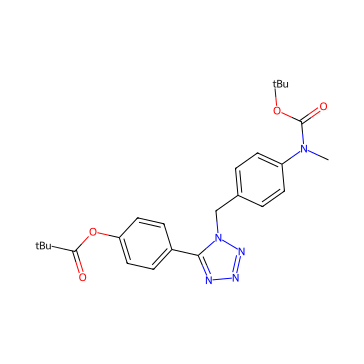 CN(C(=O)OC(C)(C)C)c1ccc(Cn2nnnc2-c2ccc(OC(=O)C(C)(C)C)cc2)cc1